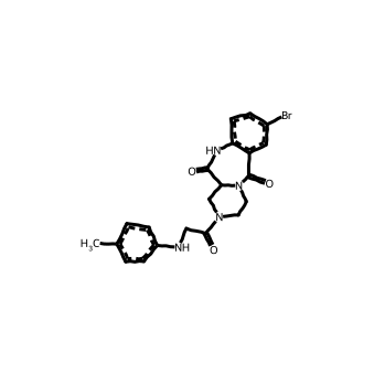 Cc1ccc(NCC(=O)N2CCN3C(=O)c4cc(Br)ccc4NC(=O)C3C2)cc1